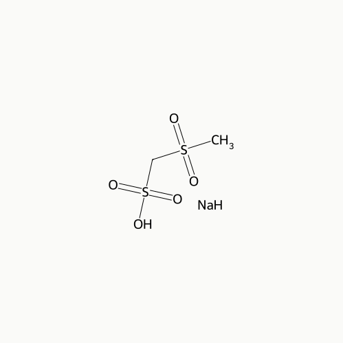 CS(=O)(=O)CS(=O)(=O)O.[NaH]